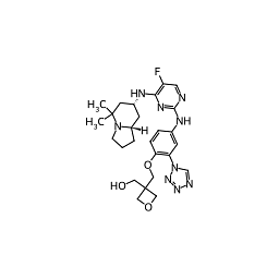 CC1(C)C[C@H](Nc2nc(Nc3ccc(OCC4(CO)COC4)c(-n4cnnn4)c3)ncc2F)C[C@@H]2CCCN21